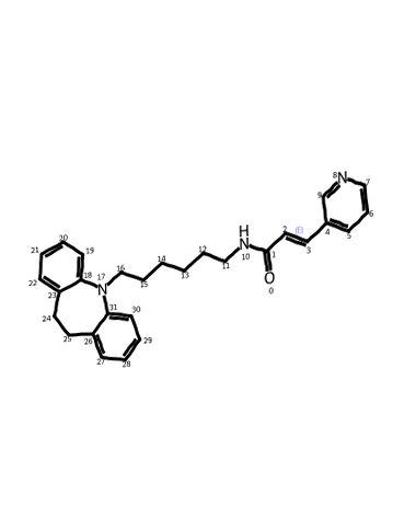 O=C(/C=C/c1cccnc1)NCCCCCCN1c2ccccc2CCc2ccccc21